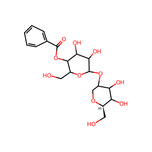 O=C(OC1C(CO)OC(OC2CO[C@H](CO)C(O)C2O)C(O)C1O)c1ccccc1